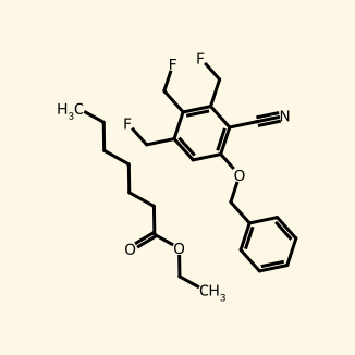 CCCCCCC(=O)OCC.N#Cc1c(OCc2ccccc2)cc(CF)c(CF)c1CF